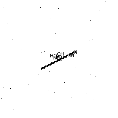 CC(O)C(=O)O.CCCCCCCCCCCCCCCCCCNCCCN(C)C.N